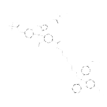 COc1ccc(C(OCC(O)COCCCNC(=O)c2ccc3c(c2)C(=O)OC32c3ccc(OC(=O)C(C)(C)C)cc3Oc3cc(OC(=O)C(C)(C)C)ccc32)(c2ccccc2)c2ccc(OC)cc2)cc1